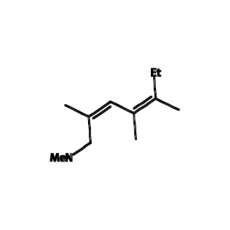 CC/C(C)=C(C)\C=C(\C)CNC